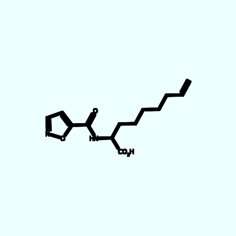 C=CCCCCCC(NC(=O)c1ccno1)C(=O)O